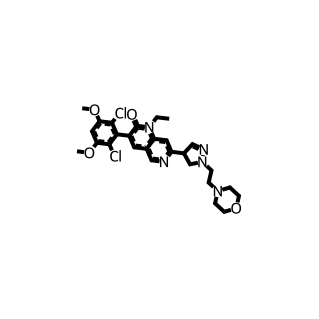 CCn1c(=O)c(-c2c(Cl)c(OC)cc(OC)c2Cl)cc2cnc(C3C=NN(CCN4CCOCC4)C3)cc21